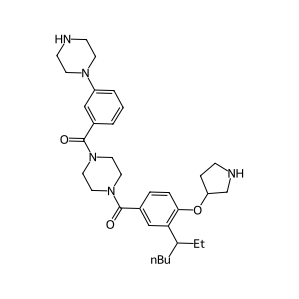 CCCCC(CC)c1cc(C(=O)N2CCN(C(=O)c3cccc(N4CCNCC4)c3)CC2)ccc1OC1CCNC1